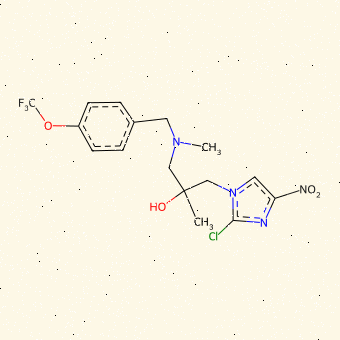 CN(Cc1ccc(OC(F)(F)F)cc1)CC(C)(O)Cn1cc([N+](=O)[O-])nc1Cl